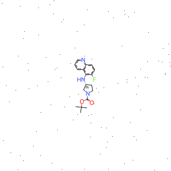 CC(C)(C)OC(=O)N1CC[C@@H](Nc2c(F)ccc3ncccc23)C1